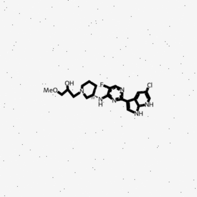 COCC(O)CN1CCC[C@H](Nc2nc(C3=CNC4NC=C(Cl)C=C34)ncc2F)C1